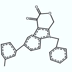 Cc1cccc(-c2ccc3c(c2)c2c(n3Cc3ccccc3)COC(=O)C2=O)c1